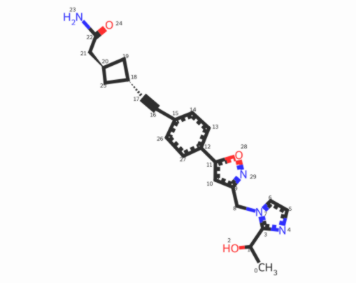 CC(O)c1nccn1Cc1cc(-c2ccc(C#C[C@H]3C[C@H](CC(N)=O)C3)cc2)on1